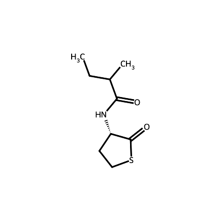 CCC(C)C(=O)N[C@H]1CCSC1=O